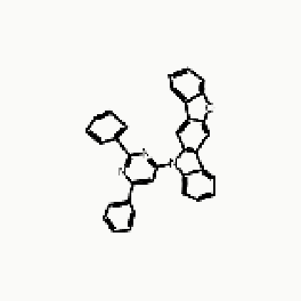 c1ccc(-c2cc(-n3c4ccccc4c4cc5oc6ccccc6c5cc43)nc(-c3ccccc3)n2)cc1